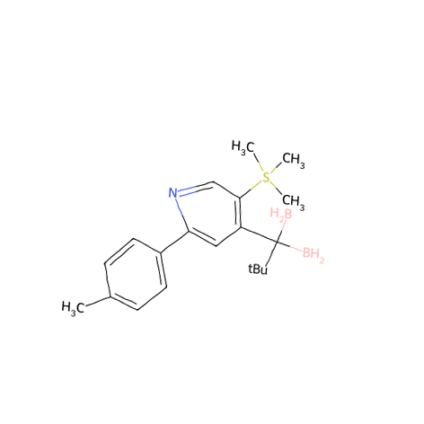 BC(B)(c1cc(-c2ccc(C)cc2)ncc1S(C)(C)C)C(C)(C)C